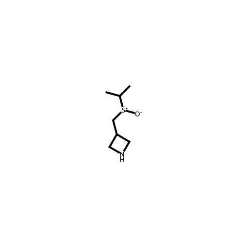 CC(C)[S+]([O-])CC1CNC1